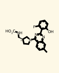 Cc1ccc2c(N3CC[C@@H](CNC(=O)O)C3)nc(-c3c(O)cccc3F)nc2c1